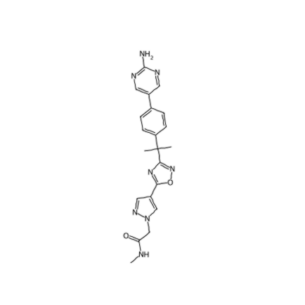 CNC(=O)Cn1cc(-c2nc(C(C)(C)c3ccc(-c4cnc(N)nc4)cc3)no2)cn1